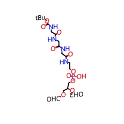 CC(C)(C)OC(=O)NCC(=O)NCC(=O)NCC(=O)NCCOP(=O)(O)OCC(COC=O)OC=O